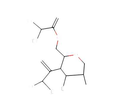 C=C(OCC1OCC(C)C(CC)C1C(=C)C(CC)CC)C(CC)CC